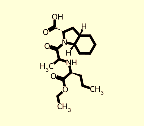 CCC[C@H](NC(C)C(=O)N1[C@H](C(=O)O)C[C@@H]2CCCC[C@@H]21)C(=O)OCC